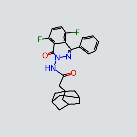 O=C(CC12CC3CC(CC(C3)C1)C2)Nn1nc(-c2ccccc2)c2c(F)ccc(F)c2c1=O